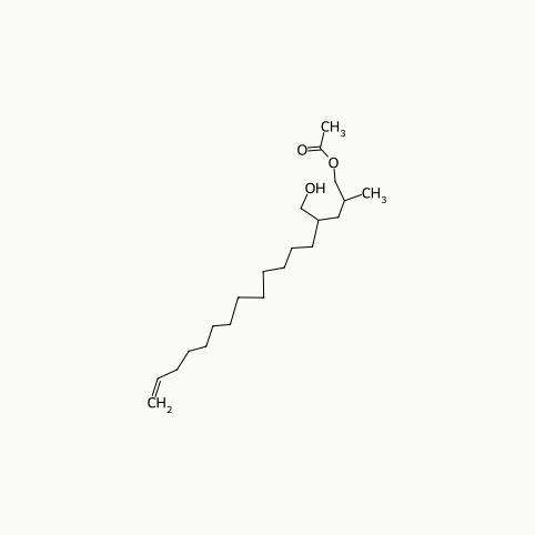 C=CCCCCCCCCCCCC(CO)CC(C)COC(C)=O